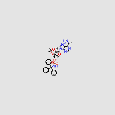 CC(N)c1ncnc2c1ncn2[C@@H]1O[C@H](COS(=O)(=O)NC(c2ccccc2)(c2ccccc2)c2ccccc2)[C@H]2OC(C)(C)O[C@H]21